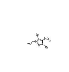 C=CCn1nc(Br)c([N+](=O)[O-])c1Br